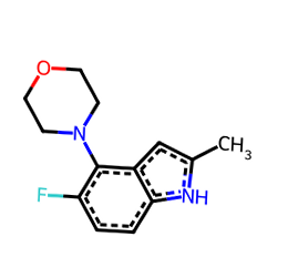 Cc1cc2c(N3CCOCC3)c(F)ccc2[nH]1